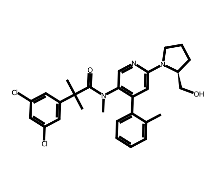 Cc1ccccc1-c1cc(N2CCC[C@H]2CO)ncc1N(C)C(=O)C(C)(C)c1cc(Cl)cc(Cl)c1